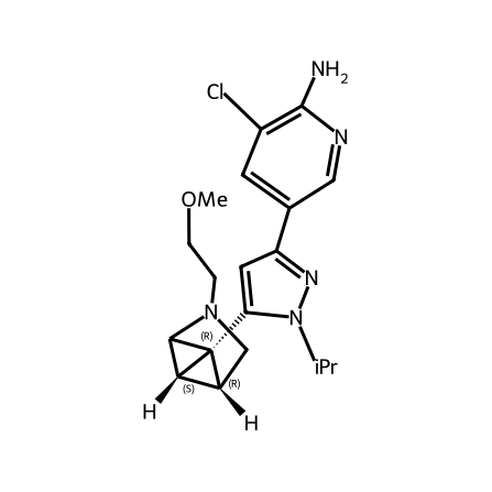 COCCN1C[C@@H]2[C@@H]3C1[C@@]23c1cc(-c2cnc(N)c(Cl)c2)nn1C(C)C